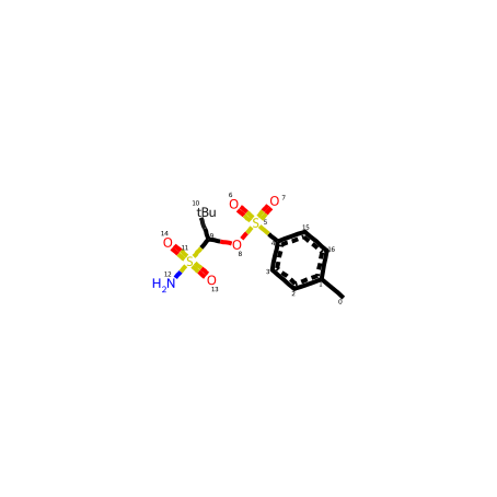 Cc1ccc(S(=O)(=O)OC(C(C)(C)C)S(N)(=O)=O)cc1